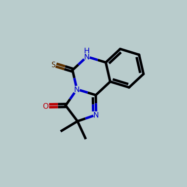 CC1(C)N=C2c3ccccc3NC(=S)N2C1=O